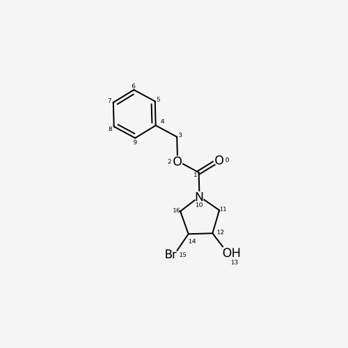 O=C(OCc1ccccc1)N1CC(O)C(Br)C1